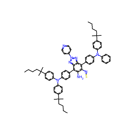 CCCCC(C)(C)c1ccc(N(c2ccccc2)c2ccc(-c3c(N=S)c(N)c(-c4ccc(N(c5ccc(C(C)(C)CCCC)cc5)c5ccc(C(C)(C)CCCC)cc5)cc4)c4nn(-c5ccncc5)nc34)cc2)cc1